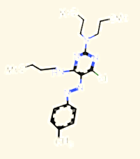 COCCCNc1nc(N(CCOC)CCOC)nc(Cl)c1N=Nc1ccc(C)cc1